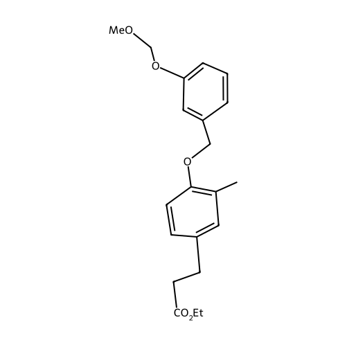 CCOC(=O)CCc1ccc(OCc2cccc(OCOC)c2)c(C)c1